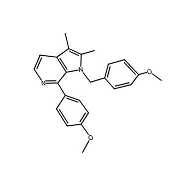 COc1ccc(Cn2c(C)c(C)c3ccnc(-c4ccc(OC)cc4)c32)cc1